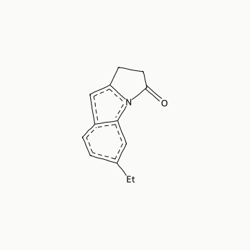 CCc1ccc2cc3n(c2c1)C(=O)CC3